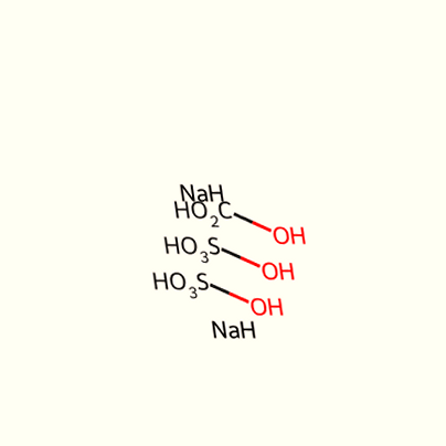 O=C(O)O.O=S(=O)(O)O.O=S(=O)(O)O.[NaH].[NaH]